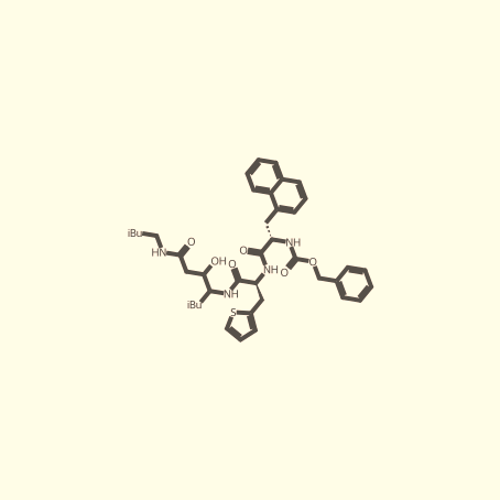 CCC(C)CNC(=O)CC(O)C(NC(=O)[C@H](Cc1cccs1)NC(=O)[C@H](Cc1cccc2ccccc12)NC(=O)OCc1ccccc1)C(C)CC